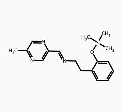 Cc1cnc(C=NCCc2ccccc2O[Si](C)(C)C)cn1